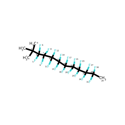 CC(C)(C)C(F)(F)C(F)(F)C(F)(F)C(F)(F)C(F)(F)C(F)(F)C(F)(F)C(F)(F)C(C)(F)F